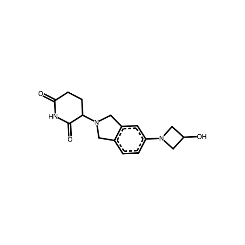 O=C1CCC(N2Cc3ccc(N4CC(O)C4)cc3C2)C(=O)N1